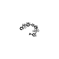 O=C(Cc1ccccn1)Nc1ccc(C2CCN(c3nnc(C(=O)NCc4cc(C5CC5)ccn4)s3)C2)nn1